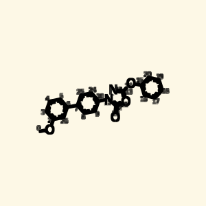 COc1cccc(-c2ccc(-n3nc(Oc4ccccc4)oc3=O)cc2)c1